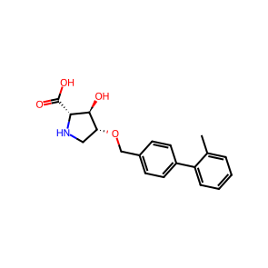 Cc1ccccc1-c1ccc(CO[C@@H]2CN[C@H](C(=O)O)[C@H]2O)cc1